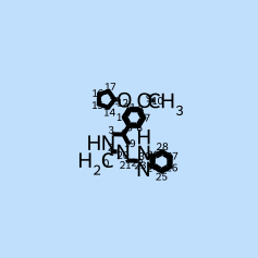 C=C1NCC(c2ccc(OC)c(OC3CCCC3)c2)CN1Cc1nc2ccccc2[nH]1